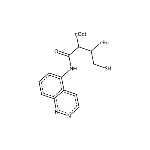 CCCCCCCCC(C(=O)Nc1cccc2nnccc12)C(CS)CCCC